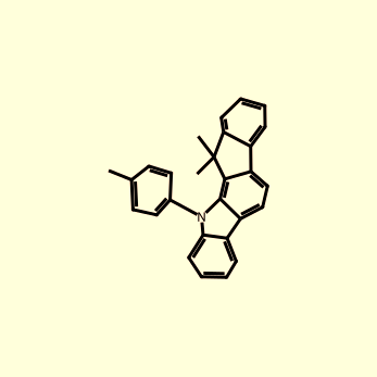 Cc1ccc(-n2c3ccccc3c3ccc4c(c32)C(C)(C)c2ccccc2-4)cc1